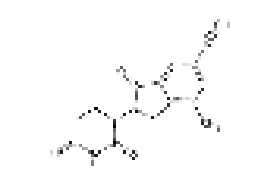 C#Cc1cc(C)c2c(c1)C(=O)N(C1CCC(=O)NC1=O)C2